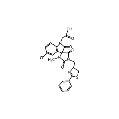 CN1C(=O)N(CC2CSC(c3ccccc3)=N2)C(=O)C12C(=O)N(CC(=O)O)c1ccc(Cl)cc12